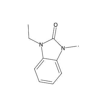 [CH2]n1c(=O)n(CC)c2ccccc21